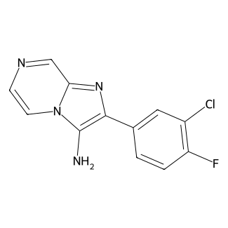 Nc1c(-c2ccc(F)c(Cl)c2)nc2cnccn12